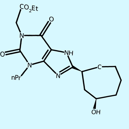 CCCn1c(=O)n(CC(=O)OCC)c(=O)c2[nH]c([C@H]3CCCC[C@@H](O)C3)nc21